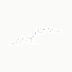 Cc1cc(OC(=O)c2ccc(O)cc2)ccc1OC(=O)/C=C/c1ccc(OCCCCCCO)cc1